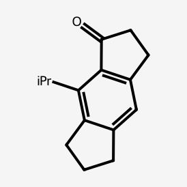 CC(C)c1c2c(cc3c1C(=O)CC3)CCC2